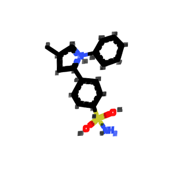 Cc1cc(-c2ccc(S(N)(=O)=O)cc2)n(-c2[c]cccc2)c1